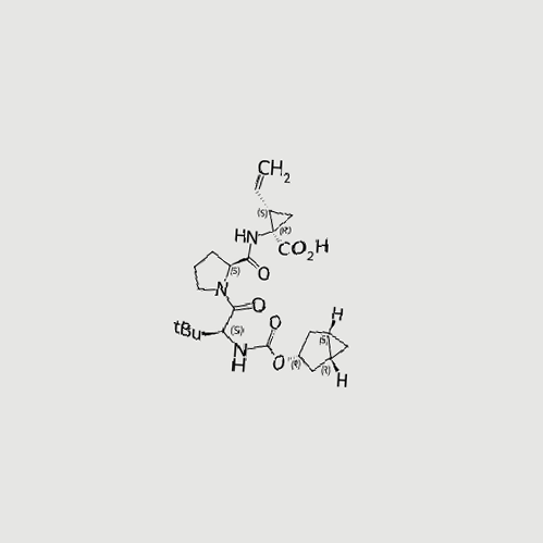 C=C[C@@H]1C[C@]1(NC(=O)[C@@H]1CCCN1C(=O)[C@@H](NC(=O)O[C@@H]1C[C@@H]2C[C@@H]2C1)C(C)(C)C)C(=O)O